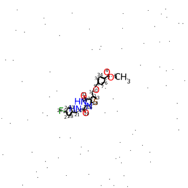 CCOC(=O)c1ccc(COCc2csc3nc(C(=O)NCc4ccc(F)cc4)[nH]c(=O)c23)cc1